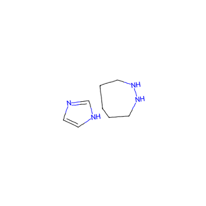 C1CCNNCC1.c1c[nH]cn1